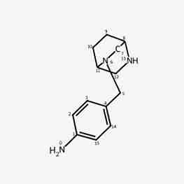 Nc1ccc(CN2CC3CCC2CN3)cc1